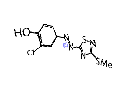 CSc1nsc(/N=N/C2C=CC(O)=C(Cl)C2)n1